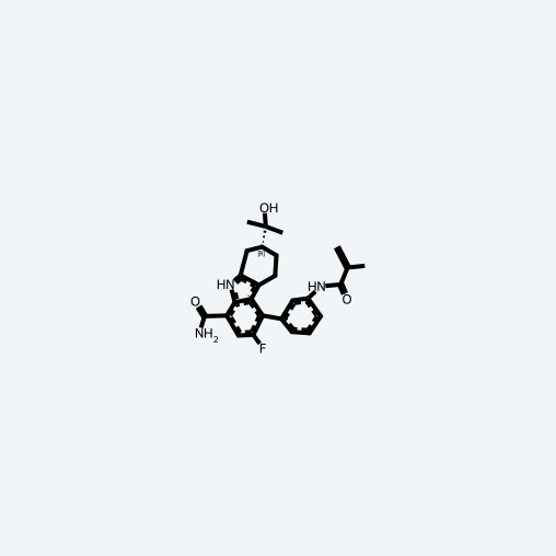 C=C(C)C(=O)Nc1cccc(-c2c(F)cc(C(N)=O)c3[nH]c4c(c23)CC[C@@H](C(C)(C)O)C4)c1